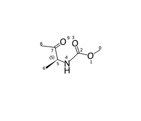 COC(=O)N[C@@H](C)C(C)=O